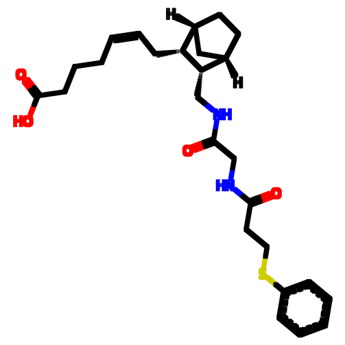 O=C(O)CCC/C=C\C[C@@H]1[C@@H]2CC[C@@H](C2)[C@@H]1CNC(=O)CNC(=O)CCSc1ccccc1